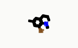 C=Nc1c(Br)cc(C)cc1/C=C\C